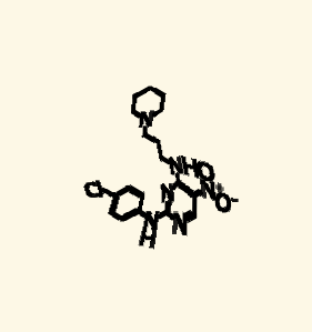 O=[N+]([O-])c1cnc(Nc2ccc(Cl)cc2)nc1NCCCN1CCCCC1